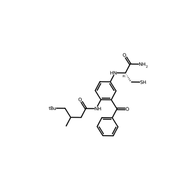 CC(CC(=O)Nc1ccc(N[C@@H](CS)C(N)=O)cc1C(=O)c1ccccc1)CC(C)(C)C